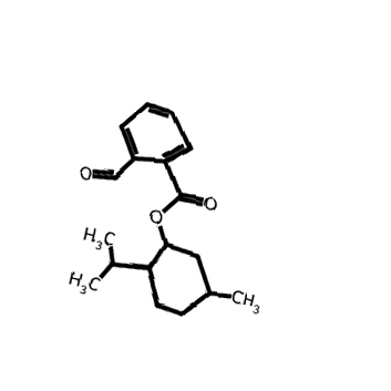 CC1CCC(C(C)C)C(OC(=O)c2ccccc2C=O)C1